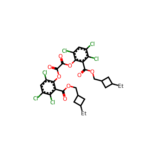 CCC1CC(COC(=O)c2c(Cl)c(Cl)cc(Cl)c2OC(=O)C(=O)Oc2c(Cl)cc(Cl)c(Cl)c2C(=O)OCC2CC(CC)C2)C1